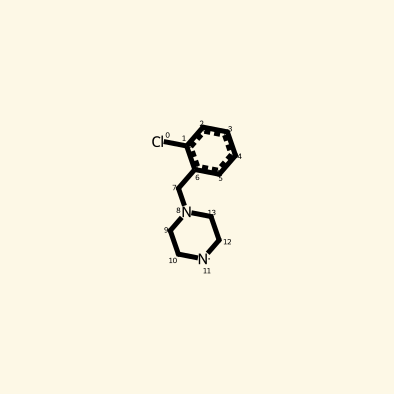 Clc1ccccc1CN1CC[N]CC1